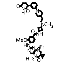 COc1cc(C(=O)NC2CC(N(C)CCC3CCN(c4cccc(C5CCC(=O)NC5=O)c4)CC3)C2)ccc1Nc1ncc2c(n1)N(C(C)C)CC1(CC1)C(=O)N2C